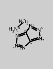 N1=NC2=NN=NC2=N1.N[N+](=O)[O-]